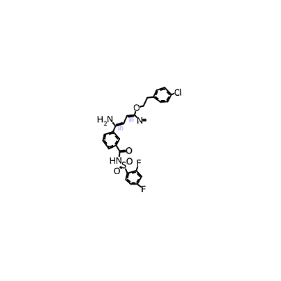 C=N/C(=C\C=C(/N)c1cccc(C(=O)NS(=O)(=O)c2ccc(F)cc2F)c1)OCCc1ccc(Cl)cc1